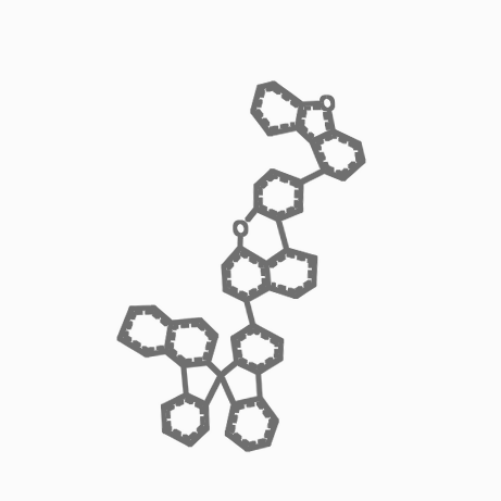 c1ccc2c(c1)-c1ccc(-c3ccc4c5c(cccc35)-c3cc(-c5cccc6oc7ccccc7c56)ccc3O4)cc1C21c2ccccc2-c2c1ccc1ccccc21